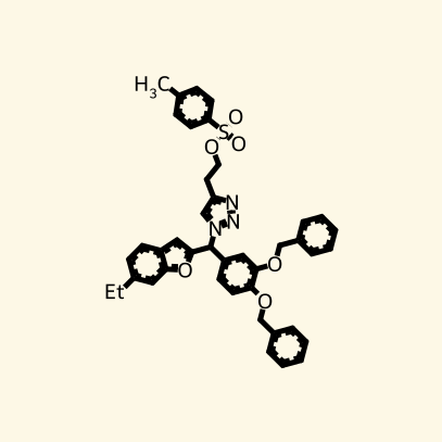 CCc1ccc2cc(C(c3ccc(OCc4ccccc4)c(OCc4ccccc4)c3)n3cc(CCOS(=O)(=O)c4ccc(C)cc4)nn3)oc2c1